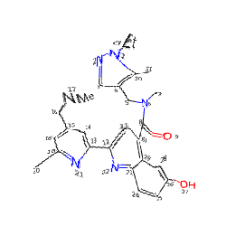 CCn1ncc(CN(C)C(=O)c2cc(-c3cc(CNC)cc(C)n3)nc3ccc(O)cc23)c1C